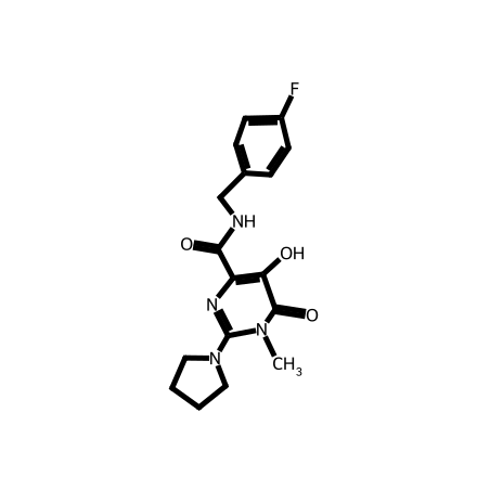 Cn1c(N2CCCC2)nc(C(=O)NCc2ccc(F)cc2)c(O)c1=O